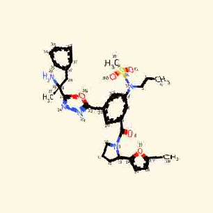 CCCN(c1cc(C(=O)N2CCCC2c2ccc(C)o2)cc(-c2nnc([C@](C)(N)Cc3ccccc3)o2)c1)S(C)(=O)=O